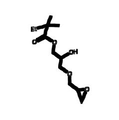 CCC(C)(C)C(=O)OCC(O)COCC1CO1